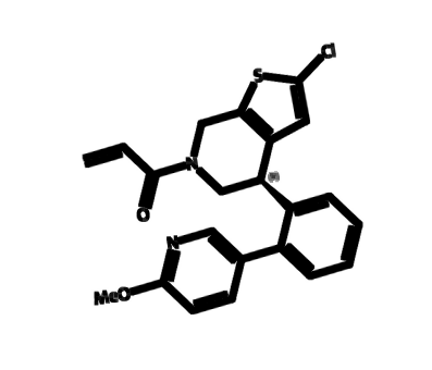 C=CC(=O)N1Cc2sc(Cl)cc2[C@@H](c2ccccc2-c2ccc(OC)nc2)C1